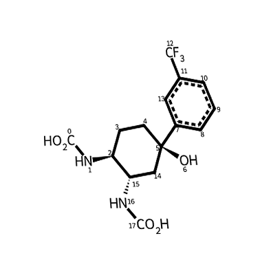 O=C(O)N[C@H]1CC[C@](O)(c2cccc(C(F)(F)F)c2)C[C@@H]1NC(=O)O